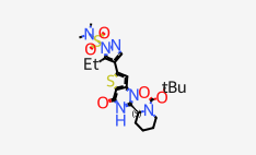 CCc1c(-c2cc3nc([C@@H]4CCCCN4C(=O)OC(C)(C)C)[nH]c(=O)c3s2)cnn1S(=O)(=O)N(C)C